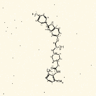 Cc1cccc(C)c1NC(=O)CN1CCN(CC(O)COc2ccc3oc(-c4ccc(C(F)(F)F)cc4)nc3c2)CC1